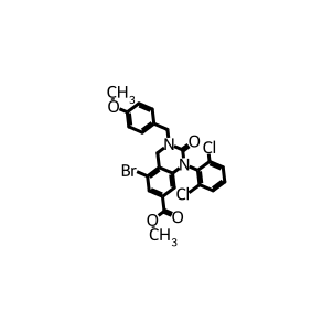 COC(=O)c1cc(Br)c2c(c1)N(c1c(Cl)cccc1Cl)C(=O)N(Cc1ccc(OC)cc1)C2